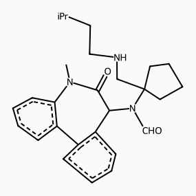 CC(C)CCNCC1(N(C=O)C2C(=O)N(C)c3ccccc3-c3ccccc32)CCCC1